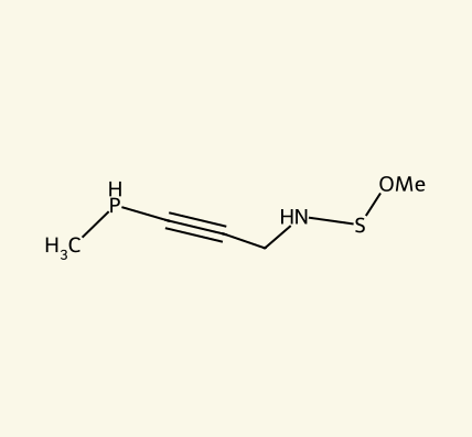 COSNCC#CPC